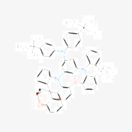 CC(C)(C)c1ccc(N(c2ccc(C(C)(C)C)cc2)c2cc3c4c(c2)N2c5ccccc5[Si](C)(C)c5cccc(c52)B4c2cccc4c2N3c2ccccc2C42c3ccccc3Oc3ccccc32)cc1